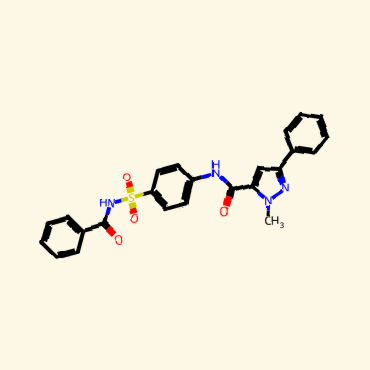 Cn1nc(-c2ccccc2)cc1C(=O)Nc1ccc(S(=O)(=O)NC(=O)c2ccccc2)cc1